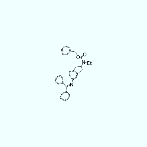 CCN(C(=O)OCc1ccccc1)C1Cc2ccc(N=C(c3ccccc3)c3ccccc3)cc2C1